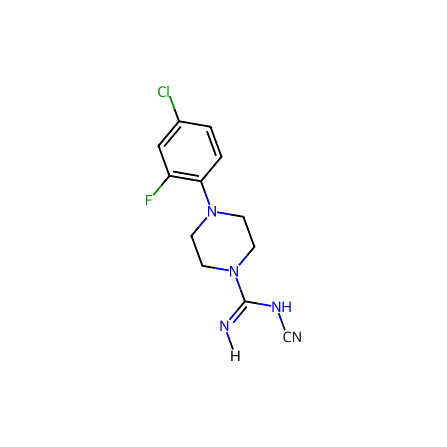 [H]/N=C(\NC#N)N1CCN(c2ccc(Cl)cc2F)CC1